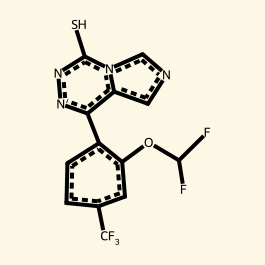 FC(F)Oc1cc(C(F)(F)F)ccc1-c1nnc(S)n2cncc12